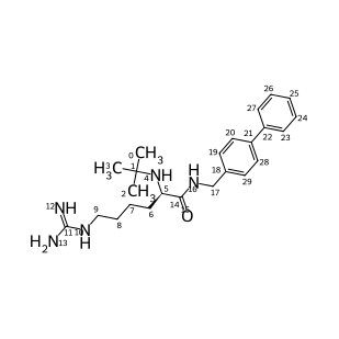 CC(C)(C)N[C@H](CCCCNC(=N)N)C(=O)NCc1ccc(-c2ccccc2)cc1